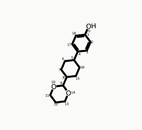 Oc1ccc(C2CCC(C3OCCCO3)CC2)cc1